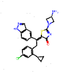 NC1CN(C2=NC(=O)C(=C(Cc3ccc(Cl)cc3C3CC3)c3ccc4[nH]ncc4c3)S2)C1